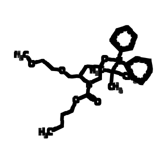 CCCCOC(=O)N1CC(O[Si](c2ccccc2)(c2ccccc2)C(C)(C)C)CC1COCCOC